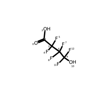 O=C(O)C(F)(F)C(F)(F)C(O)(F)F